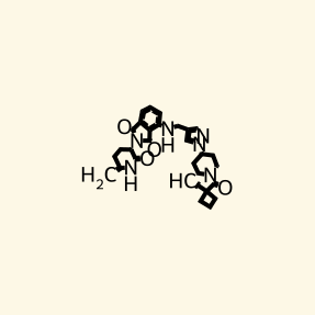 C#CC1(C(=O)N2CCC(n3cc(CNc4cccc5c4C(=O)N(C4CCC(=C)NC4=O)C5=O)cn3)CC2)CCC1